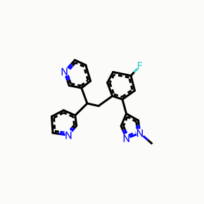 Cn1cc(-c2cc(F)ccc2CC(c2cccnc2)c2cccnc2)cn1